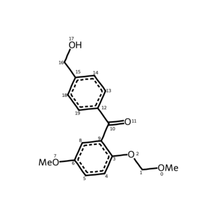 COCOc1ccc(OC)cc1C(=O)c1ccc(CO)cc1